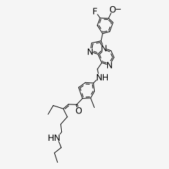 CCCNCCC/C(=C\C(=O)c1ccc(NCc2nccn3c(-c4ccc(OC)c(F)c4)cnc23)cc1C)CC